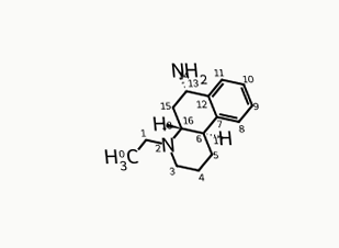 CCN1CCC[C@@H]2c3ccccc3[C@@H](N)C[C@H]21